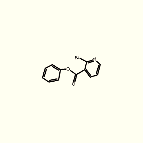 O=C(Oc1ccccc1)c1cccnc1Br